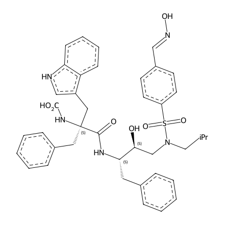 CC(C)CN(C[C@H](O)[C@H](Cc1ccccc1)NC(=O)[C@](Cc1ccccc1)(Cc1c[nH]c2ccccc12)NC(=O)O)S(=O)(=O)c1ccc(C=NO)cc1